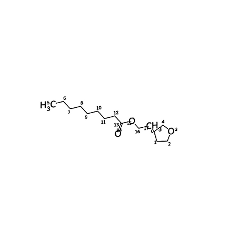 C1CCOC1.CCCCCCCCC(=O)OCC